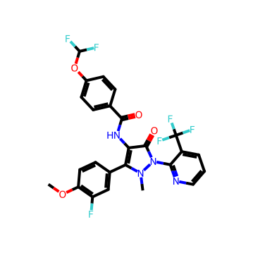 COc1ccc(-c2c(NC(=O)c3ccc(OC(F)F)cc3)c(=O)n(-c3ncccc3C(F)(F)F)n2C)cc1F